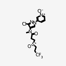 CN(C(=O)CC[S+]([O-])CCC(F)(F)F)c1cn(-c2ccc[n+]([O-])c2)nc1Cl